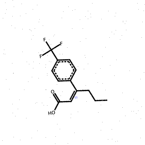 CCC/C(=C/C(=O)O)c1ccc(C(F)(F)F)cc1